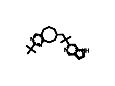 CC(C)(C)c1ncc2c(n1)CCC(CC(C)(C)c1cc3[nH]ccc3cn1)CCC2